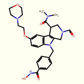 CN(C)C(=O)C1CN(C=O)Cc2c1c1cc(OCCN3CCOCC3)ccc1n2Cc1ccc(C(=O)NO)cc1